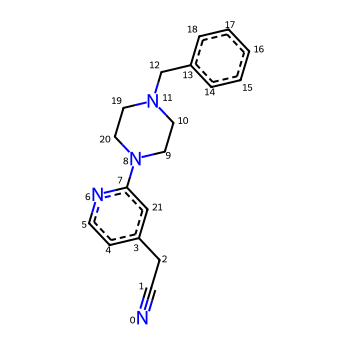 N#CCc1ccnc(N2CCN(Cc3ccccc3)CC2)c1